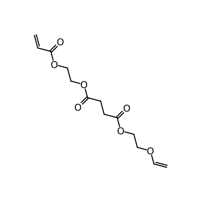 C=COCCOC(=O)CCC(=O)OCCOC(=O)C=C